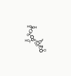 CC(O)c1cn(CC(=O)N2C[C@H](F)C[C@H]2C(=O)NCc2cccc(Cl)c2F)c2ccc(C(=O)N3CC=C(B(O)O)CC3)cc12